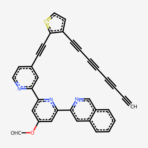 C#CC#CC#CC#Cc1ccsc1C#Cc1ccnc(-c2cc(OC=O)cc(-c3cc4ccccc4cn3)n2)c1